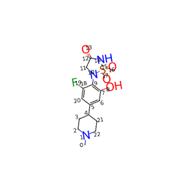 CN1CCC(c2cc(O)c(N3CC(=O)NS3(=O)=O)c(F)c2)CC1